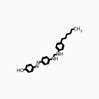 CCCCCCc1ccc(NCNc2ccc(/N=N/c3ccc(O)cc3)cc2)cc1